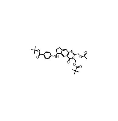 CC(=O)OCc1nc2cc3c(cc2c(=O)n1COC(=O)C(C)(C)C)C(Nc1ccc(C(=O)OC(C)(C)C)cc1)CC3